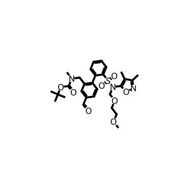 COCCOCN(c1onc(C)c1C)S(=O)(=O)c1ccccc1-c1ccc(C=O)cc1CN(C)C(=O)OC(C)(C)C